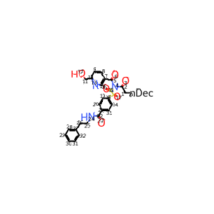 CCCCCCCCCCCC(=O)N(C(=O)c1ccc(CO)nc1)S(=O)(=O)c1ccc(C(=O)NCCc2ccccc2)cc1